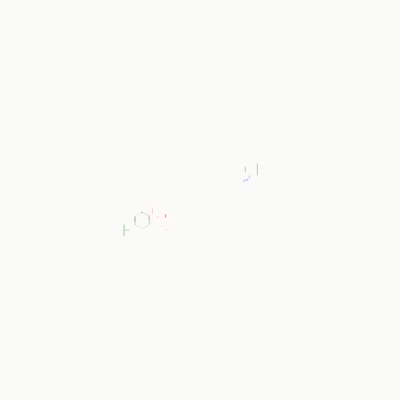 C/C=C\CCC[C@H]1CC[C@H]([C@H]2CC[C@H](C(=O)Oc3ccc(F)cc3)CC2)CC1